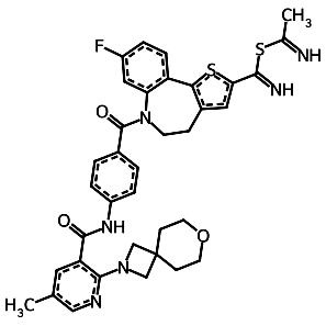 CC(=N)SC(=N)c1cc2c(s1)-c1ccc(F)cc1N(C(=O)c1ccc(NC(=O)c3cc(C)cnc3N3CC4(CCOCC4)C3)cc1)CC2